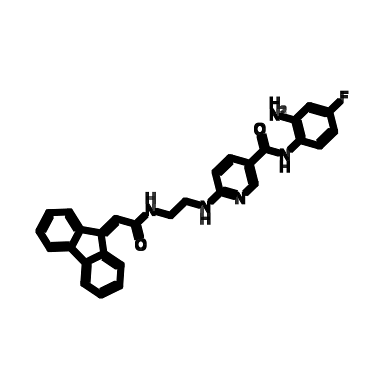 Nc1cc(F)ccc1NC(=O)c1ccc(NCCNC(=O)C=C2c3ccccc3-c3ccccc32)nc1